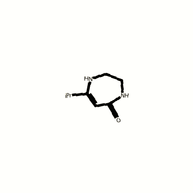 CC(C)C1=CC(=O)NCCN1